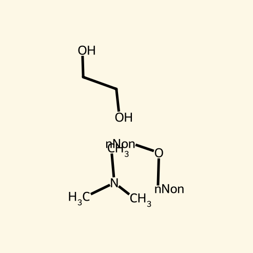 CCCCCCCCCOCCCCCCCCC.CN(C)C.OCCO